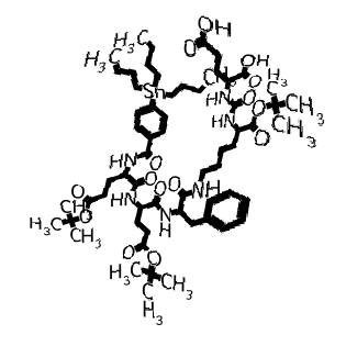 CCC[CH2][Sn]([CH2]CCC)([CH2]CCC)[c]1ccc(C(=O)NC(CCC(=O)OC(C)(C)C)C(=O)NC(CCC(=O)OC(C)(C)C)C(=O)NC(Cc2ccccc2)C(=O)NCCCCC(NC(=O)NC(CCC(=O)O)C(=O)O)C(=O)OC(C)(C)C)cc1